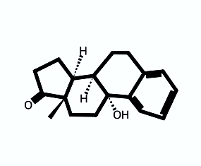 C[C@]12CC[C@]3(O)c4ccccc4CC[C@@H]3[C@@H]1CCC2=O